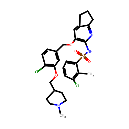 Cc1c(Cl)cccc1S(=O)(=O)Nc1nc2c(cc1OCc1ccc(Cl)c(OCC3CCN(C)CC3)c1)CCC2